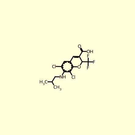 CC(C)CNc1c(Cl)cc2c(c1Cl)OC(C(F)(F)F)C(C(=O)O)=C2